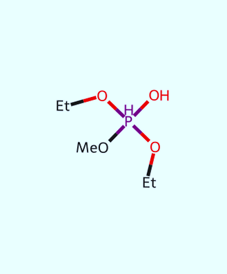 CCO[PH](O)(OC)OCC